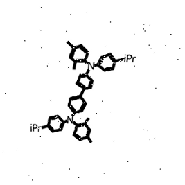 Cc1ccc(N(c2ccc(-c3ccc(N(c4ccc(C(C)C)cc4)c4ccc(C)cc4C)cc3)cc2)c2ccc(C(C)C)cc2)c(C)c1